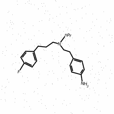 CCCN(CCCc1ccc(F)cc1)CCc1ccc(N)cc1